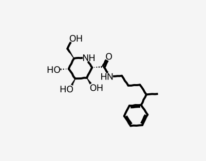 CC(CCCNC(=O)[C@H]1N[C@H](CO)[C@@H](O)[C@H](O)[C@@H]1O)c1ccccc1